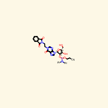 CC(C)N(C(C)C)P(OCCC#N)O[C@@H]1[C@H](O)[C@@H](CO)O[C@H]1n1cnc2c(=O)n(CCN3C(=O)c4ccccc4C3=O)cnc21